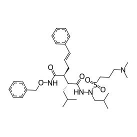 CC(C)C[C@@H](C(=O)NN(CC(C)C)S(=O)(=O)CCCN(C)C)[C@H](CC=Cc1ccccc1)C(=O)NOCc1ccccc1